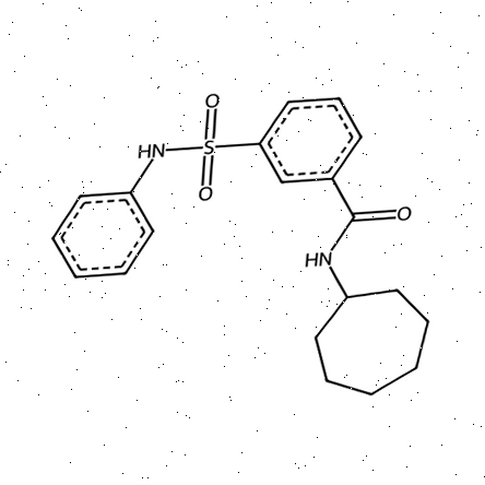 O=C(NC1CCCCCC1)c1cccc(S(=O)(=O)Nc2ccccc2)c1